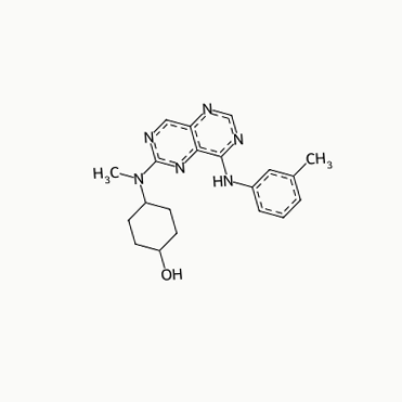 Cc1cccc(Nc2ncnc3cnc(N(C)C4CCC(O)CC4)nc23)c1